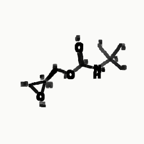 CC(C)(C)NC(=O)OC[C@@H]1CO1